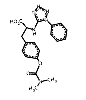 CN(C)C(=O)Oc1ccc(C[C@H](Nc2nnnn2-c2ccccc2)C(=O)O)cc1